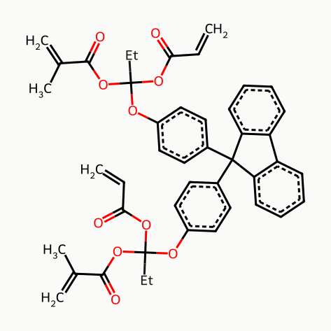 C=CC(=O)OC(CC)(OC(=O)C(=C)C)Oc1ccc(C2(c3ccc(OC(CC)(OC(=O)C=C)OC(=O)C(=C)C)cc3)c3ccccc3-c3ccccc32)cc1